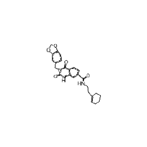 O=C(NCCC1=CCCCC1)c1ccc2c(=O)n(Cc3ccc4c(c3)OCO4)c(=O)[nH]c2c1